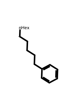 CCCCCC[CH]CCCCc1ccccc1